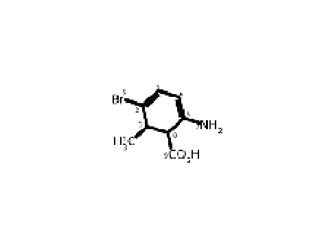 CC1C(Br)=CC=C(N)C1C(=O)O